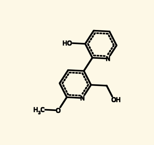 COc1ccc(-c2ncccc2O)c(CO)n1